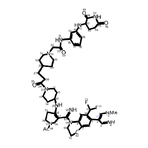 CN/C=C(\C=N)c1cc2c(cc1C(F)F)N(C(=N)C1=C(NC3CCN(C(=O)CCC4CCN(CC(=O)Nc5cccc(NC6CCC(=O)NC6=O)c5)CC4)CC3)CCN(C(C)=O)C1)CCC2